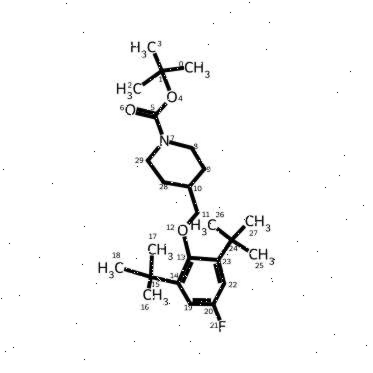 CC(C)(C)OC(=O)N1CCC(COc2c(C(C)(C)C)cc(F)cc2C(C)(C)C)CC1